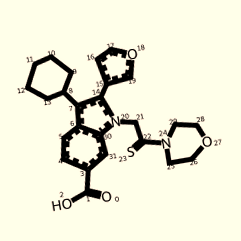 O=C(O)c1ccc2c(C3CCCCC3)c(-c3ccoc3)n(CC(=S)N3CCOCC3)c2c1